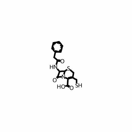 O=C(Cc1ccccc1)NC1C(=O)N2C(C(=O)O)=C(CS)CSC12